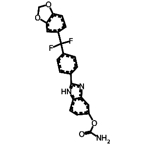 NC(=O)Oc1ccc2[nH]c(-c3ccc(C(F)(F)c4ccc5c(c4)OCO5)cc3)nc2c1